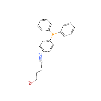 N#CCCCBr.c1ccc(P(c2ccccc2)c2ccccc2)cc1